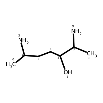 CC(N)CCC(O)C(C)N